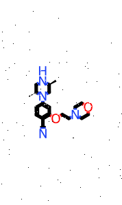 C[C@@H]1CN[C@@H](C)CN1c1ccc(C#N)c(OCCN2CCOCC2)c1